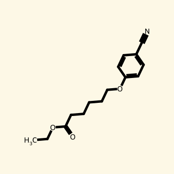 CCOC(=O)CCCCCOc1ccc(C#N)cc1